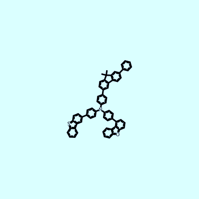 CC1(C)c2ccc(-c3ccc(N(c4ccc(-c5ccc6sc7ccccc7c6c5)cc4)c4ccc(-c5cccc6oc7ccccc7c56)cc4)cc3)cc2-c2ccc(-c3ccccc3)cc21